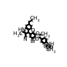 CCCC1CC(=O)C2=C(C1)NC(C)=C(C#N)C2c1cc(Br)c(OCc2ccc(NS(C)(=O)=O)cc2)c(OCC)c1